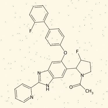 CC(=O)N1CCC(F)C1c1cc2[nH]c(-c3ccccn3)nc2cc1Oc1ccc(-c2ccccc2F)cc1